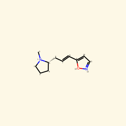 CN1CCC[C@H]1C/C=C/c1ccno1